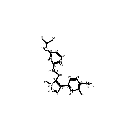 Cc1nc(-c2cnn(C)c2CNc2nccc(OC(C)C)n2)ccc1N